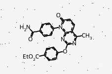 CCOC(=O)c1ccc(Oc2nc(C)c3ccc(=O)n(-c4ccc(C(N)=O)cc4)c3n2)cc1